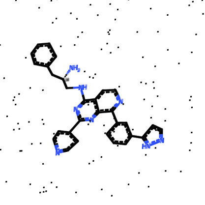 N[C@H](CNc1nc(-c2ccncc2)nc2c(-c3cccc(-c4ccn[nH]4)c3)nccc12)Cc1ccccc1